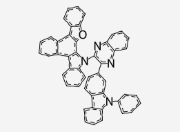 c1ccc(-n2c3ccccc3c3ccc(-c4nc5ccccc5nc4-n4c5ccccc5c5c6ccccc6c6c7ccccc7oc6c54)cc32)cc1